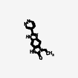 CCn1c(=O)[nH]c2cc3[nH]c(-c4ccnnc4)nc3cc21